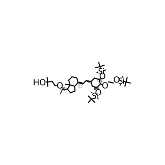 C[C@@H](OCCC(C)(C)O)C1CCC2/C(=C/C=C3C[C@@H](O[Si](C)(C)C(C)(C)C)C(OCCO[Si](C)(C)C(C)(C)C)[C@H](O[Si](C)(C)C(C)(C)C)C3)CCCC21C